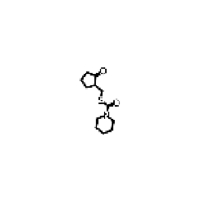 O=C1CCCC1CSC(=O)N1CCCCC1